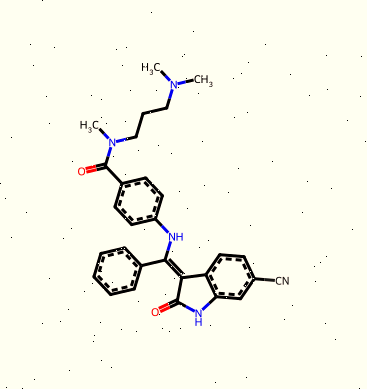 CN(C)CCCN(C)C(=O)c1ccc(NC(=C2C(=O)Nc3cc(C#N)ccc32)c2ccccc2)cc1